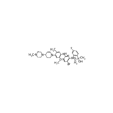 COc1cc(N2CCC(N3CCN(C)CC3)CC2)c(C)cc1Nc1ncc(Br)c(Nc2cc(F)ccc2C(C)(C)O)n1